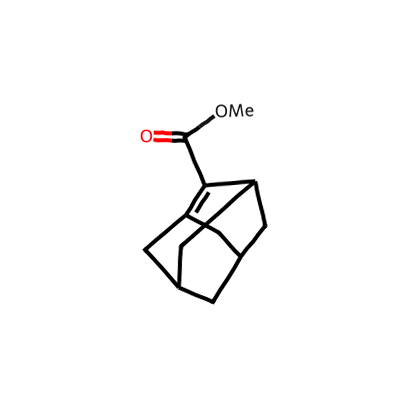 COC(=O)C1=C2CC3CC(C2)CC1C3